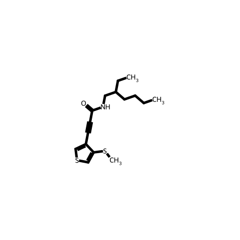 CCCCC(CC)CNC(=O)C#Cc1cscc1SC